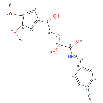 COc1ccc(C(O)CNC(=O)C(=O)NCc2ccc(Cl)cc2)cc1OC